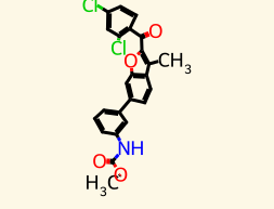 COC(=O)Nc1cccc(-c2ccc3c(C)c(C(=O)c4ccc(Cl)cc4Cl)oc3c2)c1